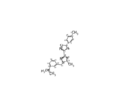 Cc1ccc(-c2nc(-c3nc(C)n(Cc4cccc(N(C)C)c4)n3)no2)cc1